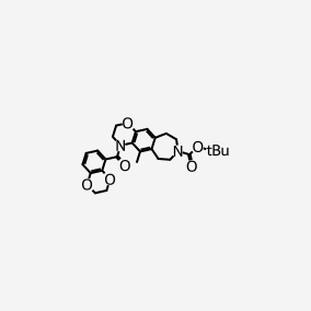 Cc1c2c(cc3c1N(C(=O)c1cccc4c1OCCO4)CCO3)CCN(C(=O)OC(C)(C)C)CC2